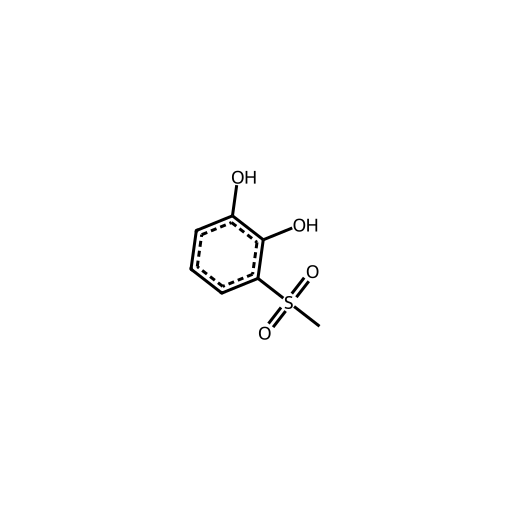 CS(=O)(=O)c1cccc(O)c1O